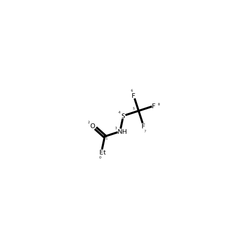 CCC(=O)NSC(F)(F)F